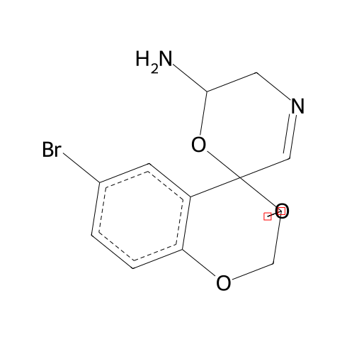 NC1CN=CC2(O1)c1cc(Br)ccc1OCC21COC1